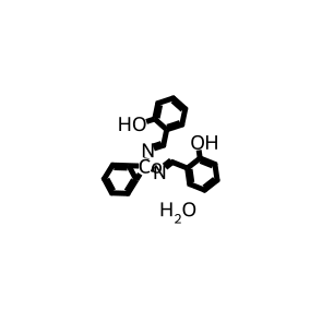 O.Oc1ccccc1C=[N][Co]1([N]=Cc2ccccc2O)[c]2cccc[c]21